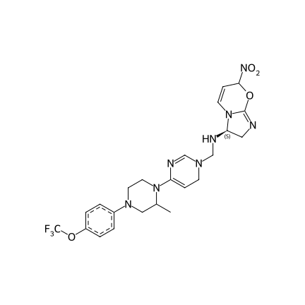 CC1CN(c2ccc(OC(F)(F)F)cc2)CCN1C1=CCN(CN[C@@H]2CN=C3OC([N+](=O)[O-])C=CN32)C=N1